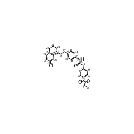 CCS(=O)(=O)c1ccc(CC(=O)Nc2ccc(CCN3CCCc4ccc(Cl)cc43)cc2)cc1